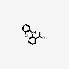 O=C(O)c1ccccc1Nc1ccncc1Cl